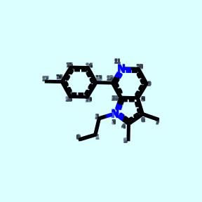 CCCn1c(C)c(C)c2ccnc(-c3ccc(C)cc3)c21